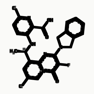 C[C@@H](Nc1ccc(Cl)nc1C(=O)O)c1cc(Cl)cn2c(=O)c(F)c(N3Cc4ccccc4C3)nc12